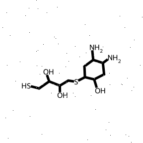 NC1CC(O)C(SCC(O)C(O)CS)CC1N